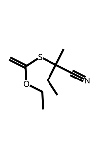 C=C(OCC)SC(C)(C#N)CC